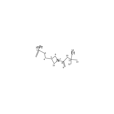 C=C(CCC)CCC1CN(C(=C)CC(C)(C)CC)C1